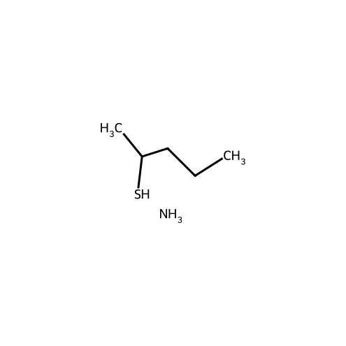 CCCC(C)S.N